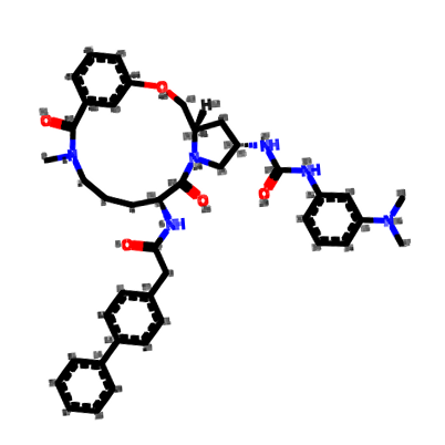 CN1CCC[C@H](NC(=O)Cc2ccc(-c3ccccc3)cc2)C(=O)N2C[C@@H](NC(=O)Nc3cccc(N(C)C)c3)C[C@H]2COc2cccc(c2)C1=O